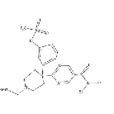 CCCC(C)CN1CCC(c2cccc(OS(=O)(=O)C(F)(F)F)c2)(c2ncc(C(=O)N(CC)CC)cn2)CC1